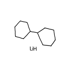 C1CCC(C2CCCCC2)CC1.[LiH]